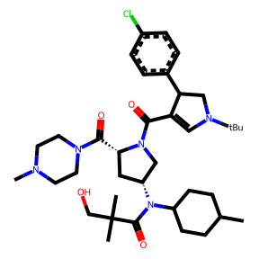 CC1CCC(N(C(=O)C(C)(C)CO)[C@@H]2C[C@H](C(=O)N3CCN(C)CC3)N(C(=O)C3=CN(C(C)(C)C)CC3c3ccc(Cl)cc3)C2)CC1